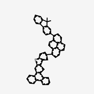 CC1(C)c2ccccc2-c2ccc(-c3ccc4ccc5ccc(-c6ccc7sc8cc9c%10ccccc%10c%10ccccc%10c9cc8c7c6)c6ccc3c4c56)cc21